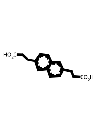 O=C(O)CCc1ccc2cc(CCC(=O)O)ccc2c1